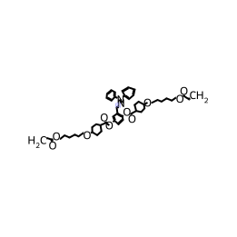 C=CC(=O)OCCCCCCOC1CCC(C(=O)Oc2ccc(OC(=O)C3CCC(OCCCCCCOC(=O)C=C)CC3)c(/C=N/N(c3ccccc3)c3ccccc3)c2)CC1